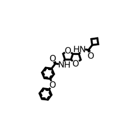 O=C(NC1COC2C(NC(=O)C3CCC3)COC12)c1cccc(Oc2ccccc2)c1